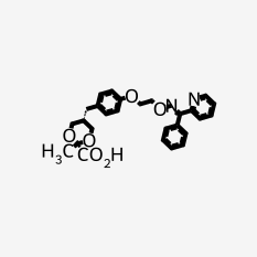 C[C@]1(C(=O)O)OC[C@H](Cc2ccc(OCCO/N=C(\c3ccccc3)c3ccccn3)cc2)CO1